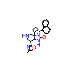 Cc1coc(C2CNCC3(C4CCC4)C2NC(=O)N3Cc2cccc3ccccc23)n1